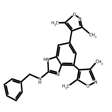 Cc1noc(C)c1-c1cc(-c2c(C)noc2C)c2nc(NCc3ccccc3)[nH]c2c1